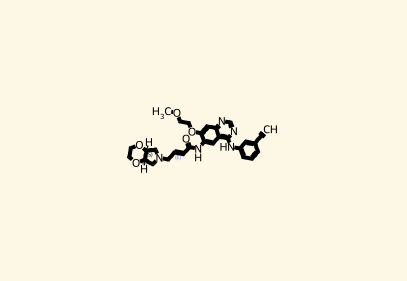 C#Cc1cccc(Nc2ncnc3cc(OCCOC)c(NC(=O)/C=C/CN4C[C@@H]5OCCO[C@@H]5C4)cc23)c1